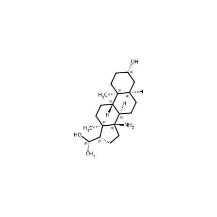 C[C@H](O)[C@H]1CC[C@@]2(N)[C@@H]3CC[C@@H]4C[C@@H](O)CC[C@]4(C)[C@H]3CC[C@]12C